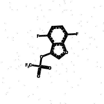 O=S(=O)(Oc1coc2c(F)ccc(F)c12)C(F)(F)F